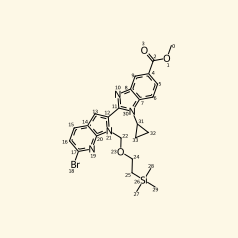 COC(=O)c1ccc2c(c1)nc(-c1cc3ccc(Br)nc3n1COCC[Si](C)(C)C)n2C1CC1